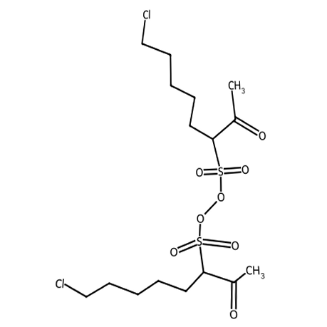 CC(=O)C(CCCCCCl)S(=O)(=O)OOS(=O)(=O)C(CCCCCCl)C(C)=O